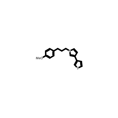 COc1ccc(CCCn2ccc(-c3ccsc3)c2)cc1